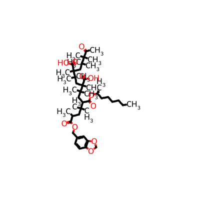 CCCCCCC(C)OC(=O)C(CC(C)(C)C(C)(CC(C)(C)C(C)(CC(C)(C)C(C)(C)C(C)=O)C(=O)O)C(=O)O)C(C)(C)CC(C)C(=O)OCc1ccc2c(c1)OCO2